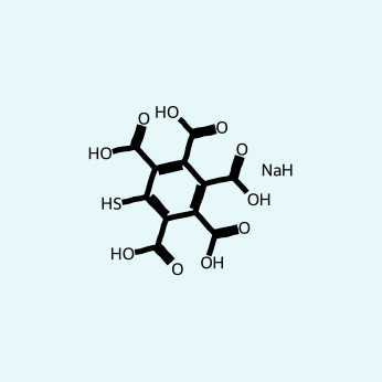 O=C(O)c1c(S)c(C(=O)O)c(C(=O)O)c(C(=O)O)c1C(=O)O.[NaH]